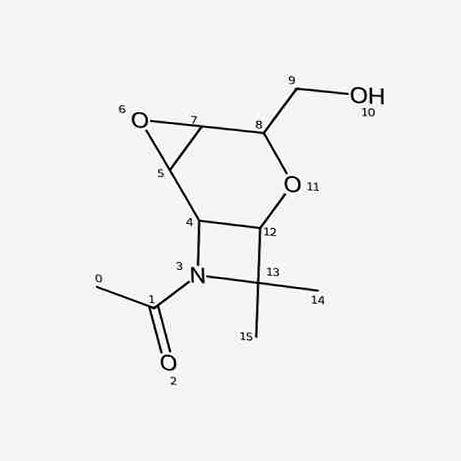 CC(=O)N1C2C3OC3C(CO)OC2C1(C)C